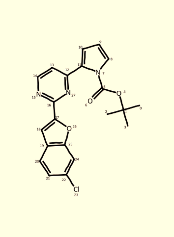 CC(C)(C)OC(=O)n1cccc1-c1ccnc(-c2cc3ccc(Cl)cc3o2)n1